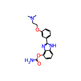 CN(C)CCOc1cccc(-c2nc3c(OC(N)=O)cccc3[nH]2)c1